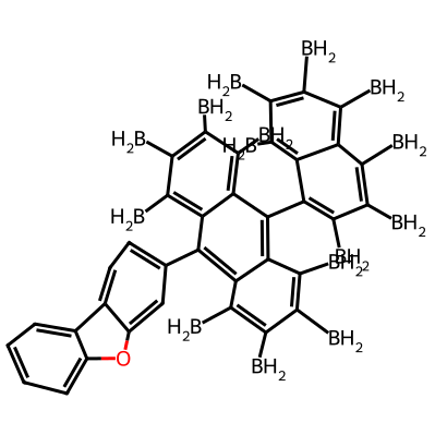 Bc1c(B)c(B)c2c(-c3c4c(B)c(B)c(B)c(B)c4c(-c4ccc5c(c4)oc4ccccc45)c4c(B)c(B)c(B)c(B)c34)c(B)c(B)c(B)c2c1B